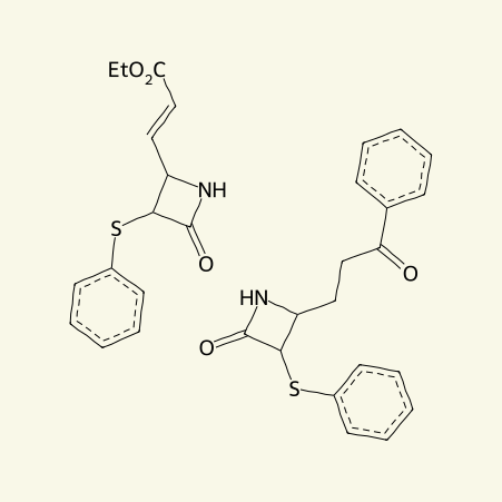 CCOC(=O)C=CC1NC(=O)C1Sc1ccccc1.O=C(CCC1NC(=O)C1Sc1ccccc1)c1ccccc1